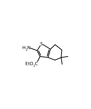 CCOC(=O)c1c(N)sc2c1CC(C)(C)CC2